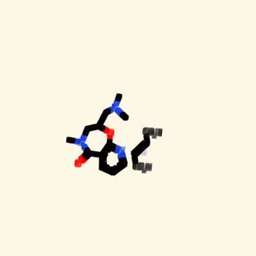 CN(C)CC1CN(C)C(=O)c2cccnc2O1.O=C(O)/C=C/C(=O)O